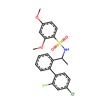 COc1ccc(S(=O)(=O)NC(C)c2ccccc2-c2ccc(Cl)cc2F)c(OC)c1